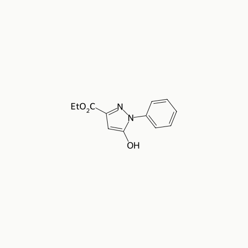 CCOC(=O)c1cc(O)n(-c2ccccc2)n1